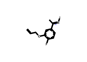 C=CCOc1cc(/C(C)=N/I)ccc1F